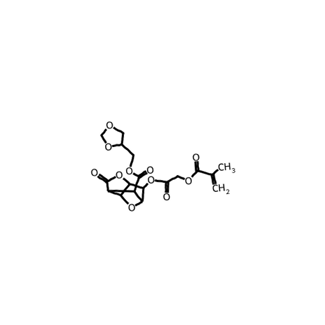 C=C(C)C(=O)OCC(=O)OC1C2OC(=O)C3C2OC1C3C(=O)OCC1COCO1